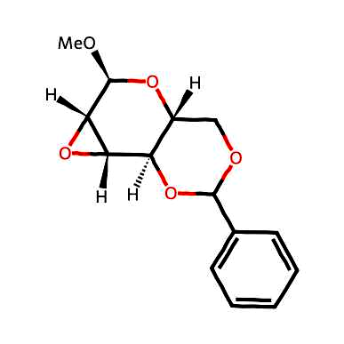 CO[C@H]1O[C@@H]2COC(c3ccccc3)O[C@H]2[C@@H]2O[C@H]12